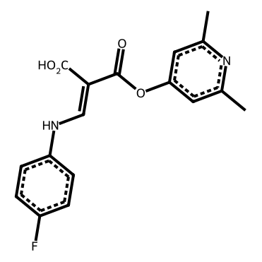 Cc1cc(OC(=O)C(=CNc2ccc(F)cc2)C(=O)O)cc(C)n1